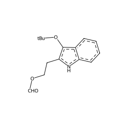 CC(C)(C)Oc1c(CCOC=O)[nH]c2ccccc12